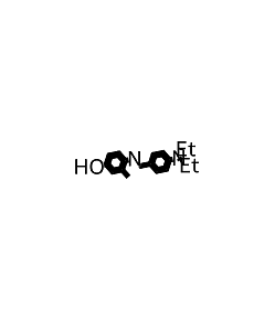 CCN(CC)c1ccc(C=Nc2ccc(O)cc2C)cc1